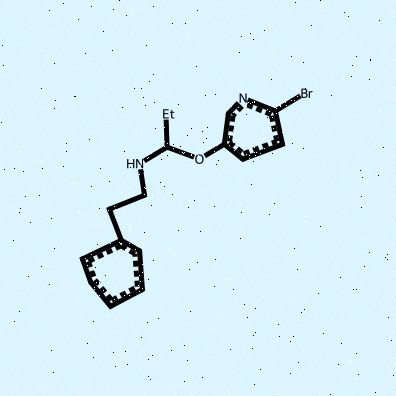 CCC(NCCc1ccccc1)Oc1ccc(Br)nc1